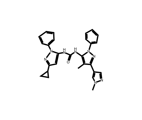 Cc1c(-c2cnn(C)c2)nn(-c2ccccc2)c1NC(=O)Nc1cc(C2CC2)nn1-c1ccccc1